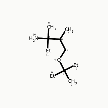 CCC(C)(CC)OCC(C)C(C)(N)CC